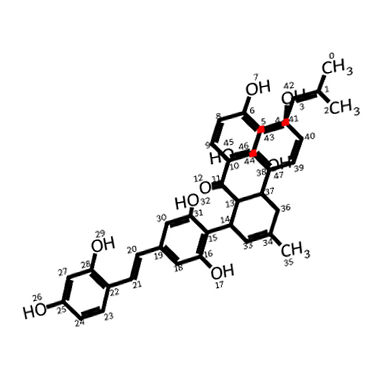 CC(C)=CCc1c(O)ccc(C(=O)C2C(c3c(O)cc(/C=C/c4ccc(O)cc4O)cc3O)C=C(C)CC2c2ccc(O)cc2O)c1O